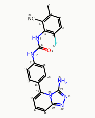 Cc1ccc(F)c(NC(=O)Nc2ccc(-c3cccc4nnc(N)n34)cc2)c1C#N